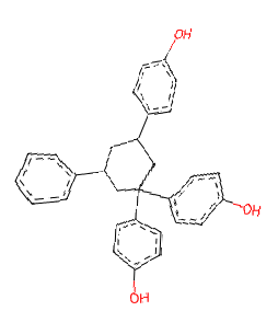 Oc1ccc(C2CC(c3ccccc3)CC(c3ccc(O)cc3)(c3ccc(O)cc3)C2)cc1